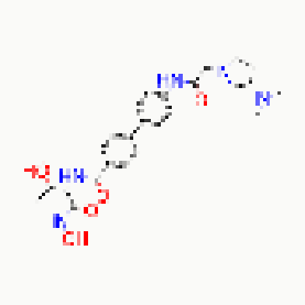 C[C@@H](O)[C@H](NC(=O)c1ccc(-c2ccc(NC(=O)CN3CC[C@H](N(C)C)C3)cc2)cc1)C(=O)NO